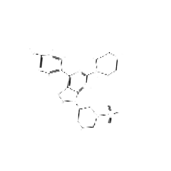 CS(=O)(=O)N1CCC[C@@H](N2CCc3c(-c4cnc(N)nc4)nc(N4CCOCC4)nc32)C1